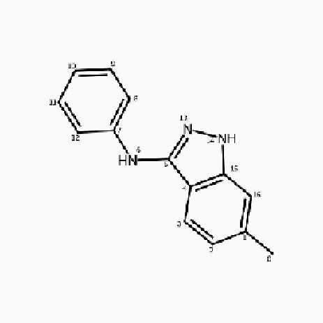 Cc1ccc2c(Nc3ccccc3)n[nH]c2c1